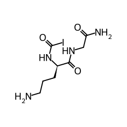 NCCC[C@@H](NC(=O)I)C(=O)NCC(N)=O